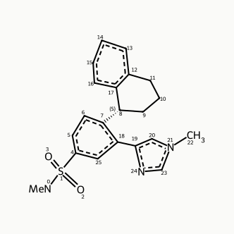 CNS(=O)(=O)c1ccc([C@H]2CCCc3ccccc32)c(-c2cn(C)cn2)c1